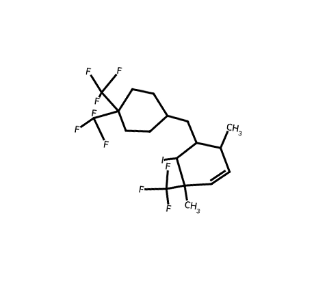 CC1C=CC(C)(C(F)(F)F)C(I)C1CC1CCC(C(F)(F)F)(C(F)(F)F)CC1